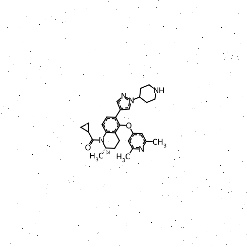 Cc1cc(Oc2c(-c3cnn(C4CCNCC4)c3)ccc3c2CC[C@H](C)N3C(=O)C2CC2)cc(C)n1